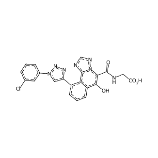 O=C(O)CNC(=O)c1c(O)c2cccc(-c3cn(-c4cccc(Cl)c4)nn3)c2c2ncnn12